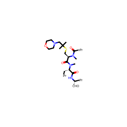 CCCC(=O)N(C)[C@H](CSC(C)(C)CN1CCOCC1)C(=O)N(C)[C@@H](CC(C)C)C(=O)N[C@@H](C=O)C(C)C